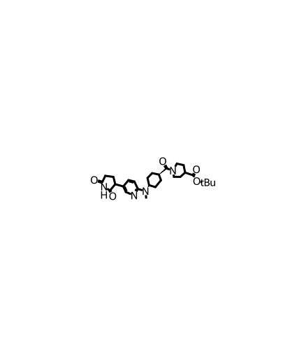 CN(c1ccc(C2CCC(=O)NC2=O)cn1)[C@H]1CC[C@H](C(=O)N2CCC(C(=O)OC(C)(C)C)CC2)CC1